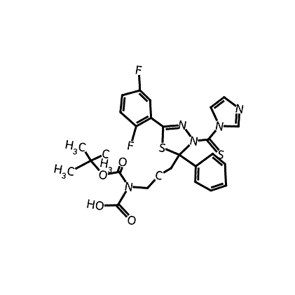 CC(C)(C)OC(=O)N(CCCC1(c2ccccc2)SC(c2cc(F)ccc2F)=NN1C(=S)n1ccnc1)C(=O)O